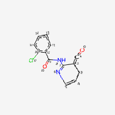 O=C=C1CC=CN=C1NC(=O)c1ccccc1Cl